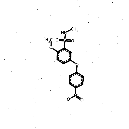 CNS(=O)(=O)c1cc(Oc2ccc([N+](=O)[O-])cc2)ccc1OC